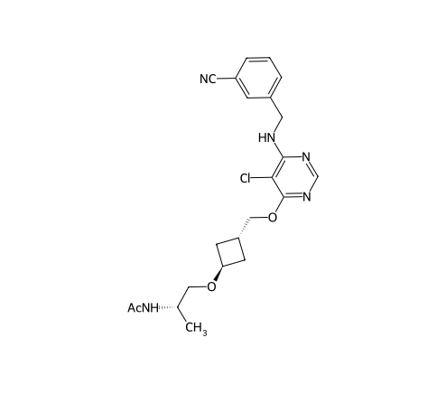 CC(=O)N[C@@H](C)CO[C@H]1C[C@H](COc2ncnc(NCc3cccc(C#N)c3)c2Cl)C1